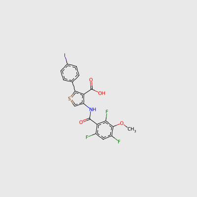 COc1c(F)cc(F)c(C(=O)Nc2csc(-c3ccc(I)cc3)c2C(=O)O)c1F